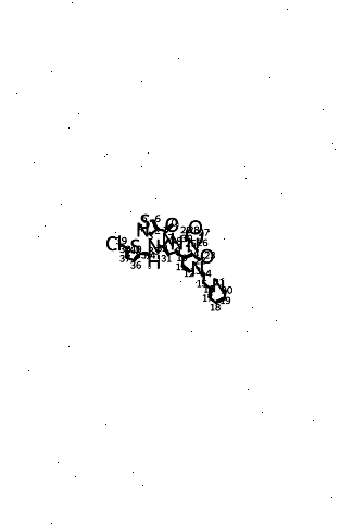 O=C(c1cnsc1)n1nc(-c2ccn(CCc3ccccn3)c(=O)c2N2CCOCC2)cc1NCc1ccc(Cl)s1